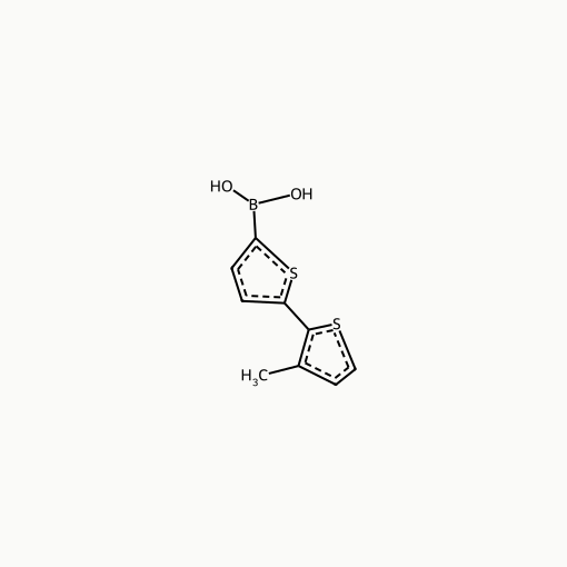 Cc1ccsc1-c1ccc(B(O)O)s1